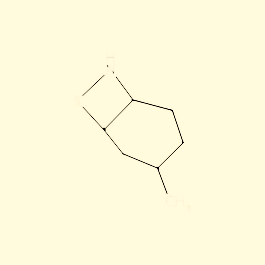 CC1CCC2NSC2C1